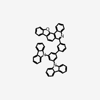 c1cc(-c2cc(-n3c4ccccc4c4ccccc43)cc(-n3c4ccccc4c4ccccc43)c2)cc(-c2nc3ccccc3c3c2ccc2c4ccccc4oc23)c1